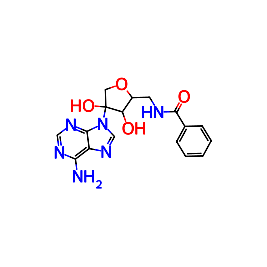 Nc1ncnc2c1ncn2C1(O)COC(CNC(=O)c2ccccc2)C1O